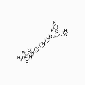 CC[C@@H]([C@H](C)O)n1ncn(-c2ccc(N3CCN(c4ccc(OC[C@@H](CCCn5cncn5)COc5ccc(F)cc5F)cc4)CC3)cc2)c1=O